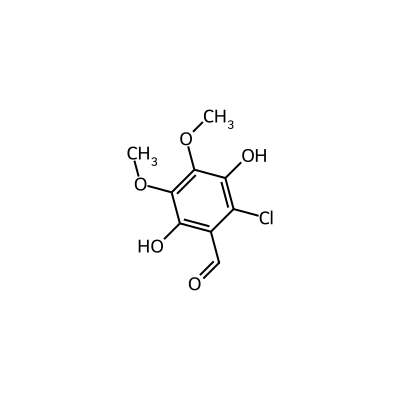 COc1c(O)c(Cl)c(C=O)c(O)c1OC